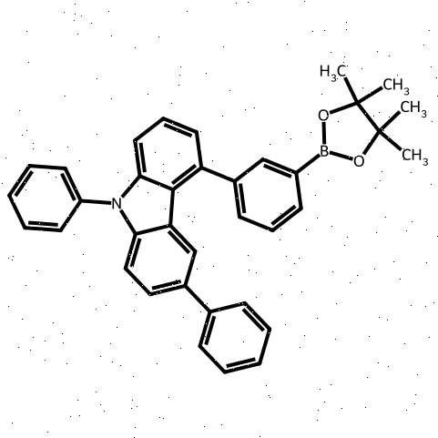 CC1(C)OB(c2cccc(-c3cccc4c3c3cc(-c5ccccc5)ccc3n4-c3ccccc3)c2)OC1(C)C